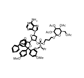 COc1ccc(C(OC(C(=O)COc2ccccc2)[C@H]2O[C@@H](n3cnc4c(N)ncnc43)C[C@@H]2OP(=O)(OCCCO[C@@H]2O[C@H](COC(C)=O)[C@@H](OC(C)=O)[C@H](OC(C)=O)[C@H]2OC(C)=O)N(C(C)C)C(C)C)(c2ccccc2)c2ccc(OC)cc2)cc1